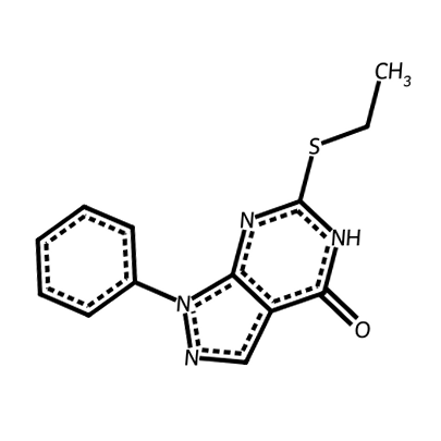 CCSc1nc2c(cnn2-c2ccccc2)c(=O)[nH]1